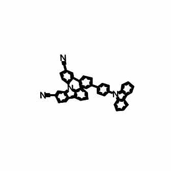 N#Cc1ccc(-n2c3ccccc3c3ccc(C#N)cc32)c(-c2ccc(-c3ccc(-n4c5ccccc5c5ccccc54)cc3)cc2)c1